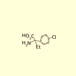 CCC(N)(C(=O)O)c1ccc(Cl)cc1